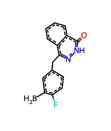 Bc1cc(Cc2n[nH]c(=O)c3ccccc23)ccc1F